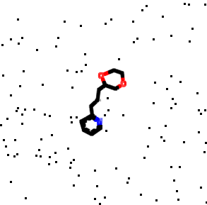 [CH](Cc1ccccn1)CC1COCCO1